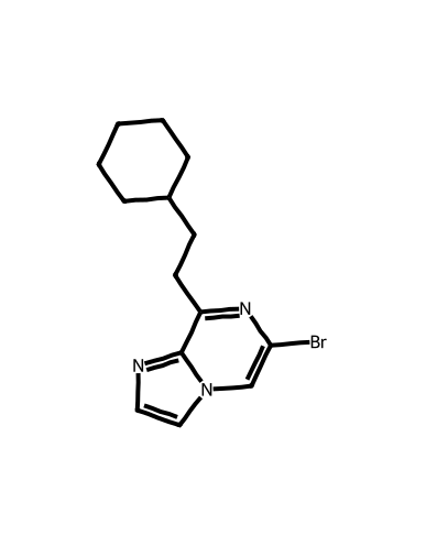 Brc1cn2ccnc2c(CCC2CCCCC2)n1